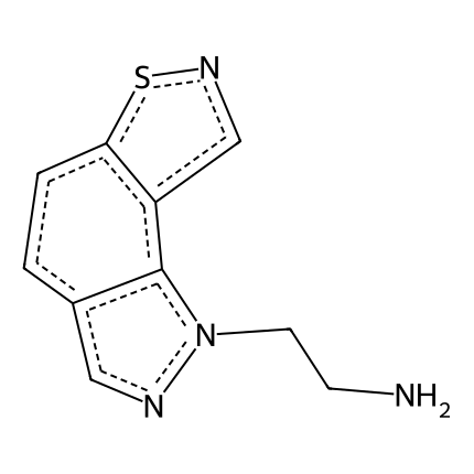 NCCn1ncc2ccc3sncc3c21